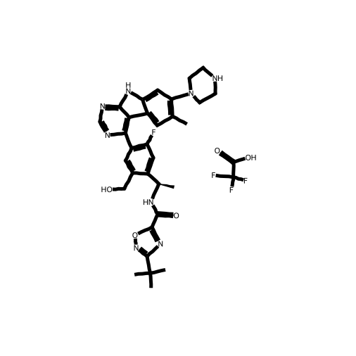 Cc1cc2c(cc1N1CCNCC1)[nH]c1ncnc(-c3cc(CO)c([C@@H](C)NC(=O)c4nc(C(C)(C)C)no4)cc3F)c12.O=C(O)C(F)(F)F